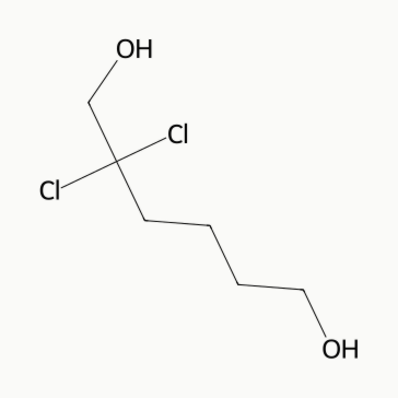 OCCCCC(Cl)(Cl)CO